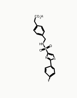 O=C(O)Cc1ccc(CNS(=O)(=O)c2csc(-c3ccc(F)cc3)n2)cc1